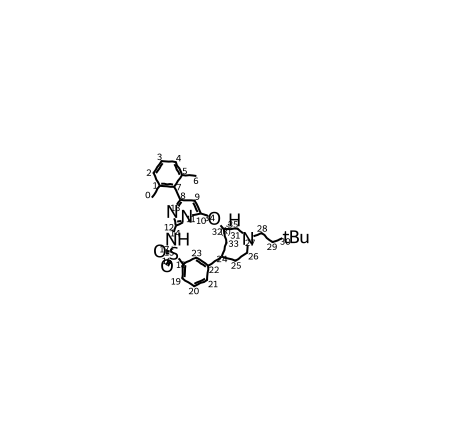 Cc1cccc(C)c1-c1cc2nc(n1)NS(=O)(=O)c1cccc(c1)C1CCN(CCC(C)(C)C)C[C@@H](C1)O2